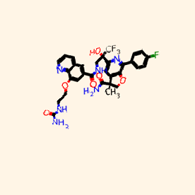 C[C@]1(C(N)=O)COc2c1cc(C(O)(CNC(=O)c1cc(OCCNC(N)=O)c3ncccc3c1)C(F)(F)F)nc2-c1ccc(F)cc1